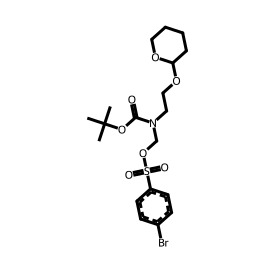 CC(C)(C)OC(=O)N(CCOC1CCCCO1)COS(=O)(=O)c1ccc(Br)cc1